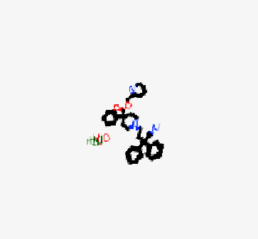 Cl.Cl.N#CC(CCN1CCC(C(=O)OCc2ccccn2)(c2ccccc2)CC1)(c1ccccc1)c1ccccc1.O